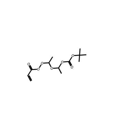 C=CC(=O)OOC(C)OC(C)OC(=O)OC(C)(C)C